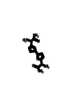 NC(=O)N(N)c1ccc(-c2ccc(N(N)C(N)=O)s2)s1